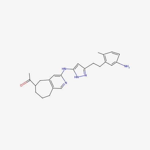 CC(=O)C1CCCc2cnc(Nc3cc(CCc4cc(N)ccc4C)n[nH]3)cc2C1